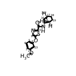 COc1cccc(Oc2cnc(C(=O)N[C@@H]3C[C@H]4CC[C@@H]3N4)s2)c1